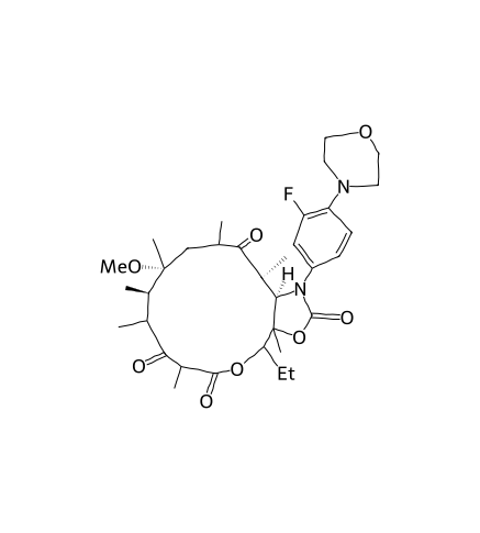 CCC1OC(=O)C(C)C(=O)C(C)[C@@H](C)[C@](C)(OC)CC(C)C(=O)[C@H](C)[C@H]2N(c3ccc(N4CCOCC4)c(F)c3)C(=O)OC12C